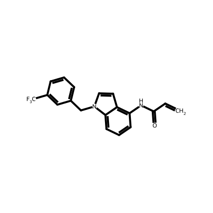 C=CC(=O)Nc1cccc2c1ccn2Cc1cccc(C(F)(F)F)c1